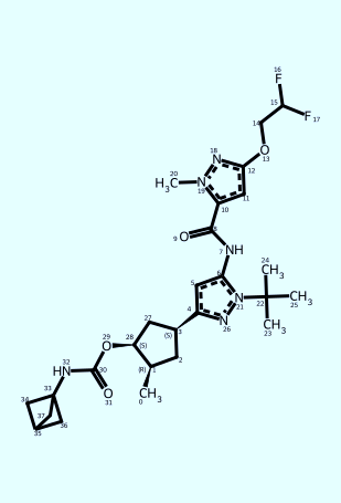 C[C@@H]1C[C@H](c2cc(NC(=O)c3cc(OCC(F)F)nn3C)n(C(C)(C)C)n2)C[C@@H]1OC(=O)NC12CC(C1)C2